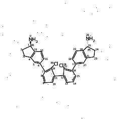 N[C@@H]1CCc2cc(-c3cccc(-c4cccc(-c5ccc6c(c5)CC[C@H]6N)c4Cl)c3Cl)ccc21